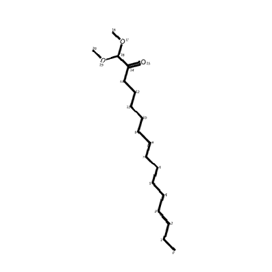 CCCCCCCCCCCCCCC(=O)C(OC)OC